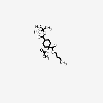 CCCCOC(=O)C1(OC(C)=O)CCC(C(=O)OC(C)(C)C)CC1